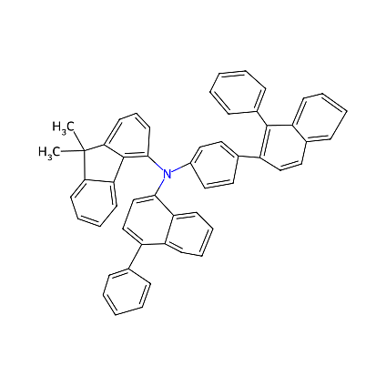 CC1(C)c2ccccc2-c2c(N(c3ccc(-c4ccc5ccccc5c4-c4ccccc4)cc3)c3ccc(-c4ccccc4)c4ccccc34)cccc21